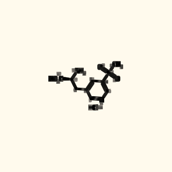 CS(=O)(=O)c1cncc(C[C@H](N)C(=O)O)c1.Cl